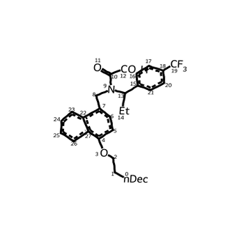 CCCCCCCCCCCCOc1ccc(CN(C(=O)C(=O)O)C(CC)c2ccc(C(F)(F)F)cc2)c2ccccc12